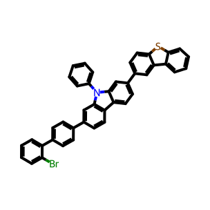 Brc1ccccc1-c1ccc(-c2ccc3c4ccc(-c5ccc6sc7ccccc7c6c5)cc4n(-c4ccccc4)c3c2)cc1